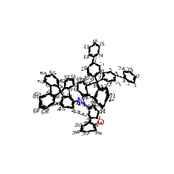 c1ccc(-c2ccc(C3(c4ccc(-c5ccccc5)cc4)c4ccccc4-c4c(N(c5ccc6oc7ccccc7c6c5)c5cccc6c5-c5ccccc5C65c6ccccc6-c6ccccc65)cccc43)cc2)cc1